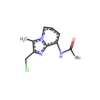 Cc1c(CCl)nc2c(NC(=O)C(C)(C)C)cccn12